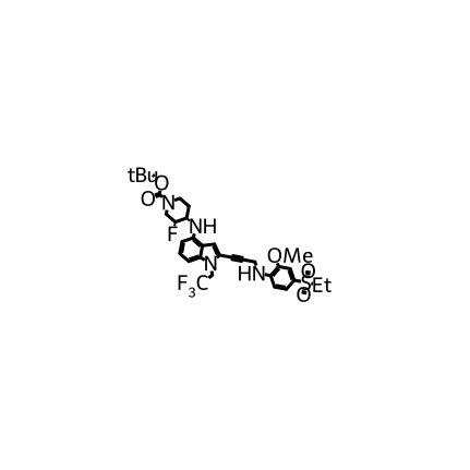 CCS(=O)(=O)c1ccc(NCC#Cc2cc3c(N[C@@H]4CCN(C(=O)OC(C)(C)C)C[C@@H]4F)cccc3n2CC(F)(F)F)c(OC)c1